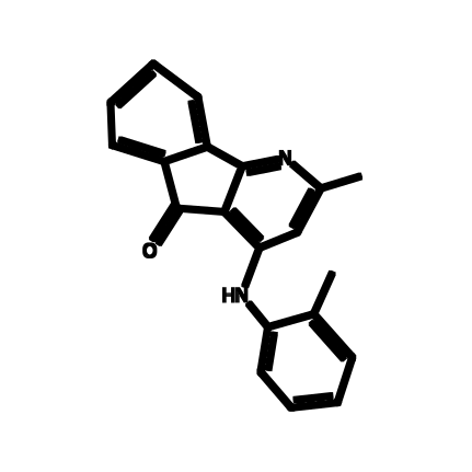 Cc1cc(Nc2ccccc2C)c2c(n1)-c1ccccc1C2=O